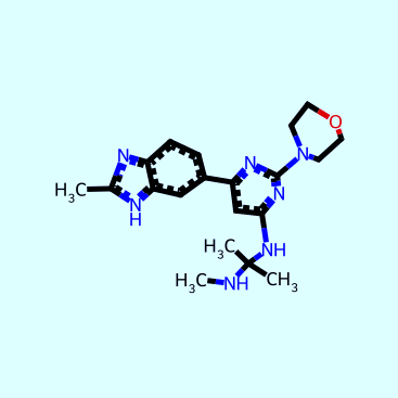 CNC(C)(C)Nc1cc(-c2ccc3nc(C)[nH]c3c2)nc(N2CCOCC2)n1